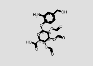 Nc1cc(CO)ccc1O[C@@H]1O[C@H](C(=O)O)[C@@H](OC=O)[C@H](OC=O)[C@H]1OC=O